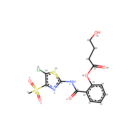 CS(=O)(=O)c1nc(NC(=O)c2ccccc2OC(=O)CCCO)sc1Cl